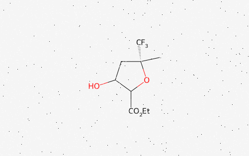 CCOC(=O)C1O[C@@](C)(C(F)(F)F)CC1O